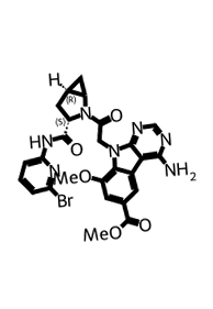 COC(=O)c1cc(OC)c2c(c1)c1c(N)ncnc1n2CC(=O)N1C2C[C@@H]2C[C@H]1C(=O)Nc1cccc(Br)n1